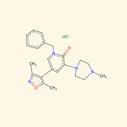 Cc1noc(C)c1-c1cc(N2CCN(C)CC2)c(=O)n(Cc2ccccc2)c1.Cl